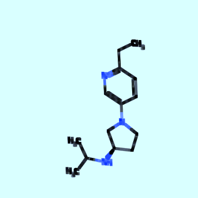 CCc1ccc(N2CC[C@@H](NC(C)C)C2)cn1